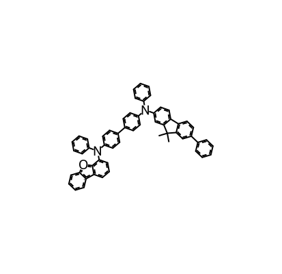 CC1(C)c2cc(-c3ccccc3)ccc2-c2ccc(N(c3ccccc3)c3ccc(-c4ccc(N(c5ccccc5)c5cccc6c5oc5ccccc56)cc4)cc3)cc21